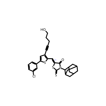 O=C1/C(=C/c2sc(-c3cccc(Cl)c3)cc2C#CCCCO)SC(=S)N1C1C2CC3CC(C2)CC1C3